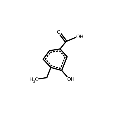 CCc1ccc(C(=O)O)cc1O